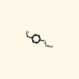 CC(C)Cc1ccc(OSS)cc1